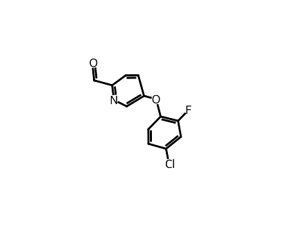 O=Cc1ccc(Oc2ccc(Cl)cc2F)cn1